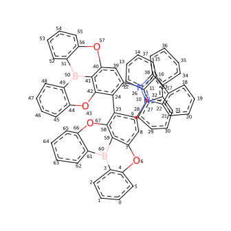 c1ccc2c(c1)Oc1cc(-n3c4ccccc4c4ccccc43)c(-c3c(-n4c5ccccc5c5ccccc54)cc4c5c3Oc3ccccc3B5c3ccccc3O4)c3c1B2c1ccccc1O3